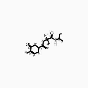 C=C(CC(F)(F)C(=O)NC(C)C)C1CC=C(C)C(=O)C1